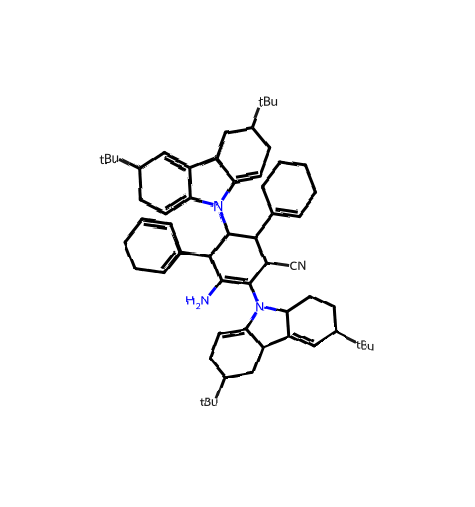 CC(C)(C)C1C=C2C(=CC1)N(C1C(C3=CCCC=C3)C(N)=C(N3C4=CCC(C(C)(C)C)CC4C4=CC(C(C)(C)C)CCC43)C(C#N)C1C1=CCCCC1)C1=CCC(C(C)(C)C)CC21